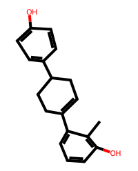 Cc1c(O)cccc1C1=CCC(c2ccc(O)cc2)CC1